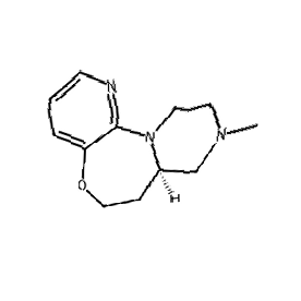 CN1CCN2c3ncccc3OCC[C@@H]2C1